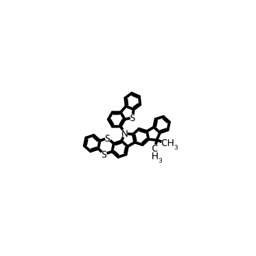 CC1(C)c2ccccc2-c2cc3c(cc21)c1ccc2c(c1n3-c1cccc3c1sc1ccccc13)Sc1ccccc1S2